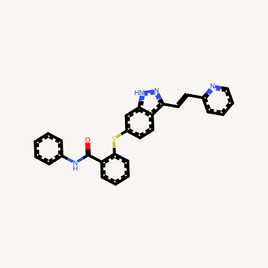 O=C(Nc1ccccc1)c1ccccc1Sc1ccc2c(/C=C/c3ccccn3)n[nH]c2c1